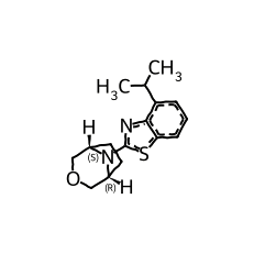 CC(C)c1cccc2sc(N3[C@@H]4CC[C@H]3COC4)nc12